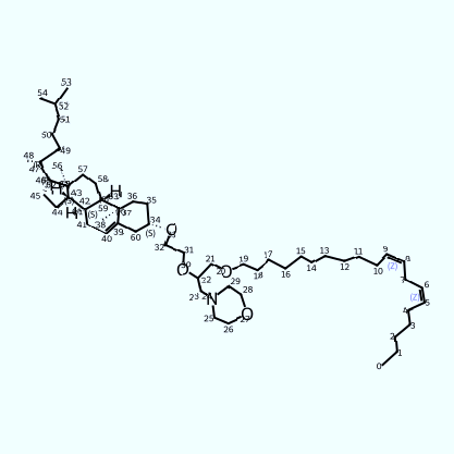 CCCCC/C=C\C/C=C\CCCCCCCCCCOCC(CN1CCOCC1)OCCO[C@H]1CC[C@@]2(C)C(=CC[C@H]3[C@@H]4CC[C@H]([C@H](C)CCCC(C)C)[C@@]4(C)CC[C@@H]32)C1